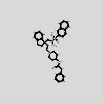 CN(CC1(CCN2CCC(NC(=O)Cc3ccccc3)CC2)CCc2ccccc21)S(=O)(=O)c1ccc2ccccc2c1